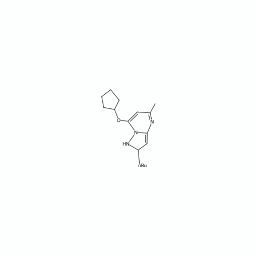 CCCCC1C=C2N=C(C)C=C(OC3CCCC3)N2N1